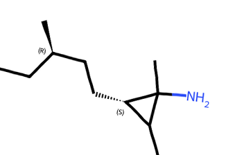 CC[C@@H](C)CC[C@H]1C(C)C1(C)N